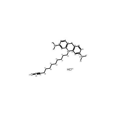 CN(C)c1ccc2c(c1)N(CCCCCCCCCC#P=O)c1cc(N(C)C)ccc1C2.Cl